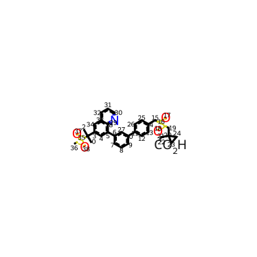 CC(C)(c1cc(-c2cccc(-c3ccc(CS(=O)(=O)CC4(CC(=O)O)CC4)cc3)c2)c2ncccc2c1)S(C)(=O)=O